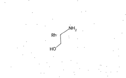 NCCO.[Rh]